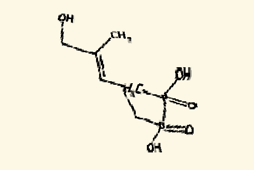 C/C(=C\CCP(=O)(O)P(C)(=O)O)CO